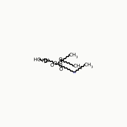 CCCCCCCC/C=C\CCCCCCCC(=O)OCC(COC(=O)CCCN1CCN(CCO)CC1)COC(=O)C(CCCCCC)CCCCCCCC